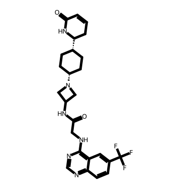 O=C1C=CCC([C@H]2CC[C@@H](N3CC(NC(=O)CNc4ncnc5ccc(C(F)(F)F)cc45)C3)CC2)N1